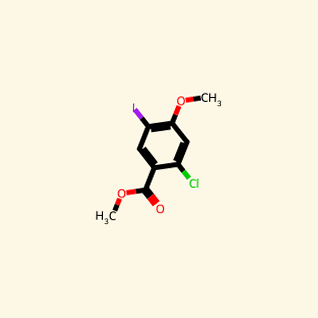 COC(=O)c1cc(I)c(OC)cc1Cl